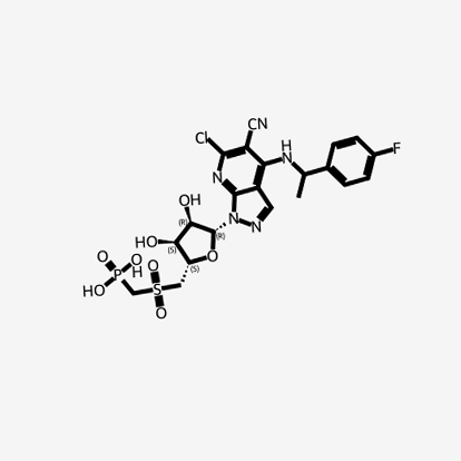 CC(Nc1c(C#N)c(Cl)nc2c1cnn2[C@@H]1O[C@H](CS(=O)(=O)CP(=O)(O)O)[C@@H](O)[C@H]1O)c1ccc(F)cc1